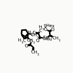 C=C(C)C(=O)OCC(C)C.C=C(CC)C(=O)OCCCCCC.C=CC(=O)OC1CC2CCC1(C)C2(C)C